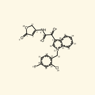 O=C1C=C(NC(=O)C(=O)c2cn(Cc3ccc(F)cc3Cl)c3ccccc23)CO1